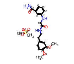 COc1ccc(CCNC(=O)CNc2cccc(C(N)=O)c2)cc1OC.CS(=O)(=O)[O-].[Na+]